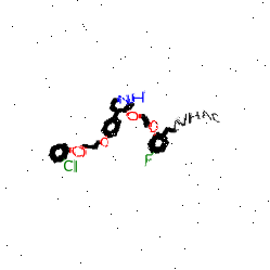 CC(=O)NCCc1ccc(F)cc1OCCOC1CNCCC1c1ccc(OCCCOc2ccccc2Cl)cc1